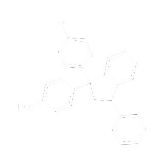 Oc1ccc(C2(c3ccc(O)cc3)CC(c3ccccc3)c3ccccc32)cc1